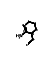 NC1=NCCCC1CI